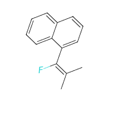 CC(C)=C(F)c1cccc2ccccc12